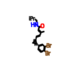 CC(C=C[C@@H]1C[C@H]1c1ccc(Br)c(Br)c1)=CC(=O)NCC(C)C